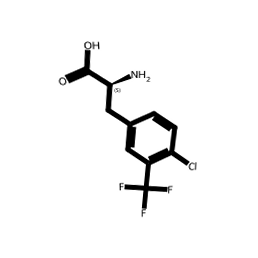 N[C@@H](Cc1ccc(Cl)c(C(F)(F)F)c1)C(=O)O